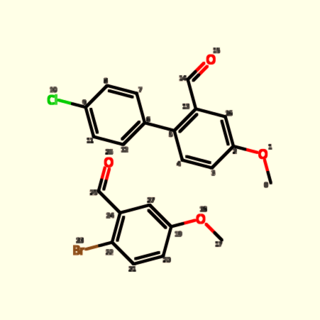 COc1ccc(-c2ccc(Cl)cc2)c(C=O)c1.COc1ccc(Br)c(C=O)c1